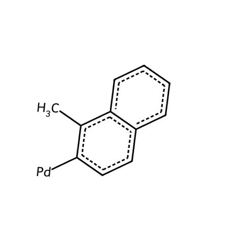 Cc1[c]([Pd])ccc2ccccc12